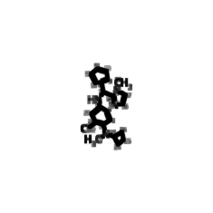 CN(c1ccc(NC(c2ccccc2)c2nccn2C)cc1Cl)C1CCC1